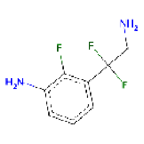 NCC(F)(F)c1cccc(N)c1F